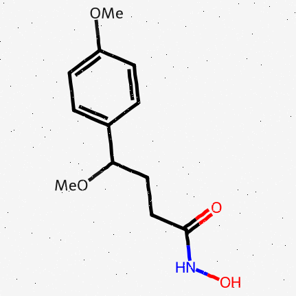 COc1ccc(C(CCC(=O)NO)OC)cc1